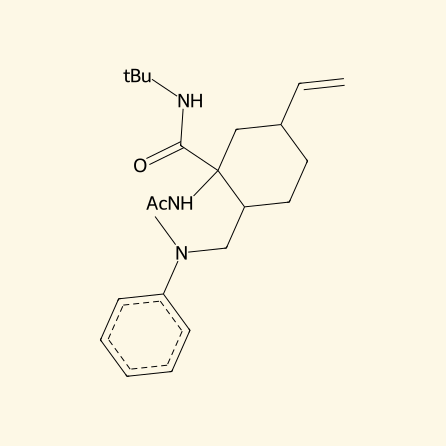 C=CC1CCC(CN(C)c2ccccc2)C(NC(C)=O)(C(=O)NC(C)(C)C)C1